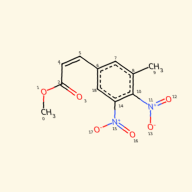 COC(=O)/[C]=C\c1cc(C)c([N+](=O)[O-])c([N+](=O)[O-])c1